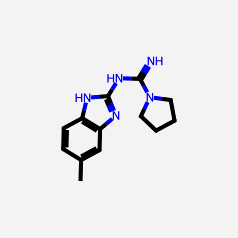 Cc1ccc2[nH]c(NC(=N)N3CCCC3)nc2c1